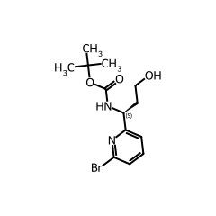 CC(C)(C)OC(=O)N[C@@H](CCO)c1cccc(Br)n1